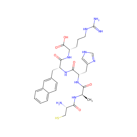 C[C@@H](NC(=O)[C@@H](N)CS)C(=O)N[C@@H](Cc1c[nH]cn1)C(=O)N[C@H](Cc1ccc2ccccc2c1)C(=O)N[C@@H](CCCNC(=N)N)C(=O)O